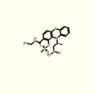 CCN(CC)C[C@H](C)N1c2ccccc2Sc2ccc(C(=S)NCC(C)C)c(OS(C)(=O)=O)c21